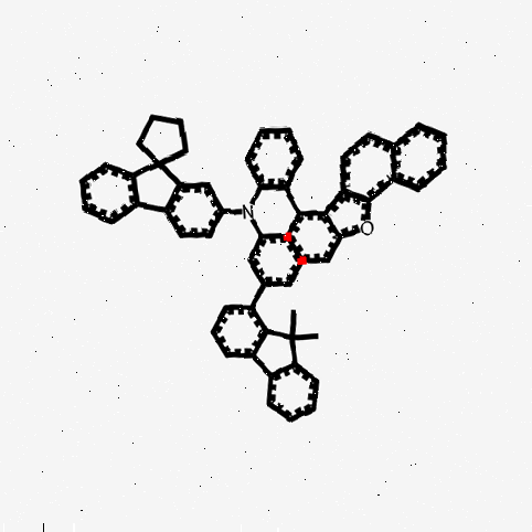 CC1(C)c2ccccc2-c2cccc(-c3cccc(N(c4ccc5c(c4)C4(CCCC4)c4ccccc4-5)c4ccccc4-c4cccc5oc6c7ccccc7ccc6c45)c3)c21